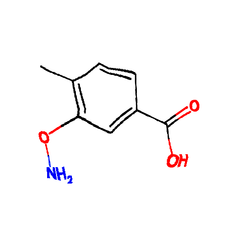 Cc1ccc(C(=O)O)cc1ON